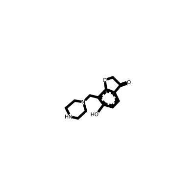 O=C1COc2c1ccc(O)c2CN1CCNCC1